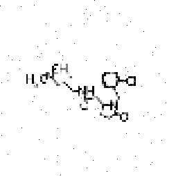 CN(C)CCCNC(=O)CC1CCC(=O)N1Cc1ccccc1Cl